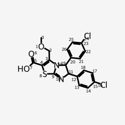 COCC1=C(C(=O)O)SC2=NC(c3ccc(Cl)cc3)C(c3ccc(Cl)cc3)N21